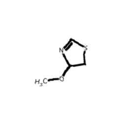 COC1CSC=N1